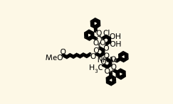 COC(=O)CCCCCCCCO[C@@H]1O[C@H](COCc2ccccc2)[C@@H](O[C@@H]2O[C@H](COCc3ccccc3)[C@H](Cl)[C@H](O)[C@H]2O)[C@H](O[C@@H]2O[C@@H](C)[C@@H](OCc3ccccc3)[C@@H](OCc3ccccc3)[C@@H]2OCc2ccccc2)[C@H]1NC(C)=O